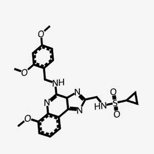 COc1ccc(CNC2=Nc3c(OC)cccc3C3=NC(CNS(=O)(=O)C4CC4)=NC23)c(OC)c1